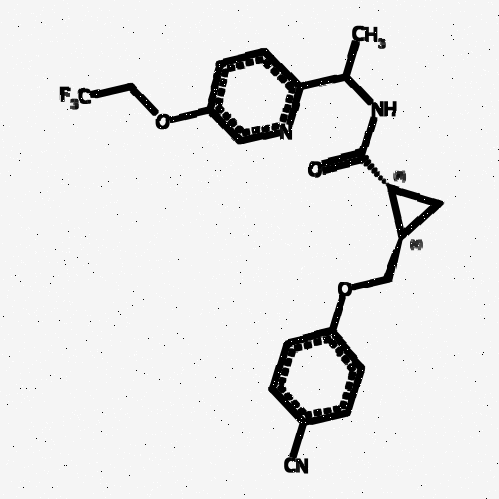 CC(NC(=O)[C@@H]1C[C@H]1COc1ccc(C#N)cc1)c1ccc(OCC(F)(F)F)cn1